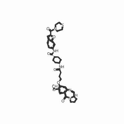 COc1cc2c(cc1OCCCC(=O)N[C@H]1CC[C@@H](C(=O)Nc3ccc4cc(C(=O)N5CCSCC5)oc4c3)CC1)N=C[C@@H]1CCCN1C2=O